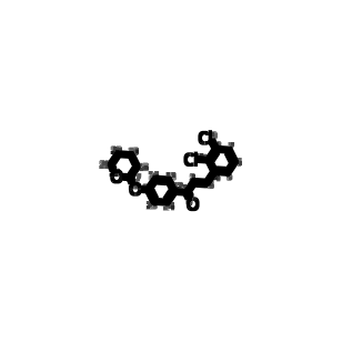 O=C(C=Cc1cccc(Cl)c1Cl)c1ccc(OC2CCCCO2)cc1